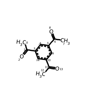 CC(=O)c1[c]c(C(C)=O)cc(C(C)=O)c1